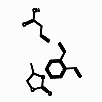 C=CCC(=O)O.C=Cc1ccccc1C=C.CC1COC(=O)O1